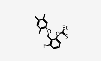 CCC(=S)Oc1cccc(F)c1COc1cc(C)c(C)cc1C